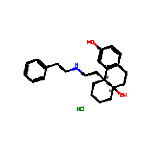 Cl.Oc1ccc2c(c1)[C@@]1(CCNCCc3ccccc3)CCCC[C@@]1(O)CC2